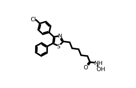 O=C(CCCCCc1nc(-c2ccc(Cl)cc2)c(-c2ccccc2)s1)NO